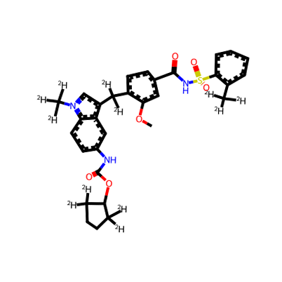 [2H]C([2H])([2H])c1ccccc1S(=O)(=O)NC(=O)c1ccc(C([2H])([2H])c2cn(C([2H])([2H])[2H])c3ccc(NC(=O)OC4C([2H])([2H])CCC4([2H])[2H])cc23)c(OC)c1